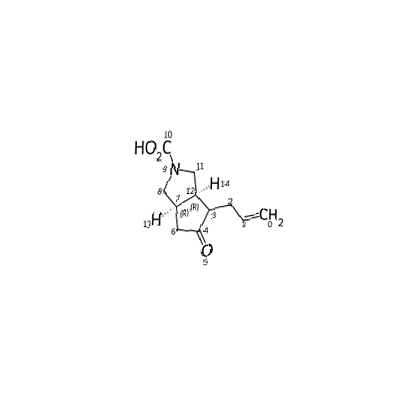 C=CCC1C(=O)C[C@H]2CN(C(=O)O)C[C@@H]12